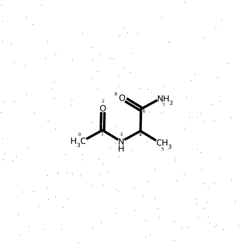 CC(=O)NC(C)C(N)=O